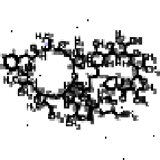 C/C=C1\NC(=O)[C@H](Cc2ccccc2)NC(=O)C(C(C)C)NC(=O)[C@@H](C(C)CC)NC(=O)C(NC(=O)[C@H](NC(=O)[C@H](CCCN)NC(=O)[C@@H]2CCCN2C(=O)C(NC(=O)C(NC(=O)C(NC(=O)C(NC(=O)CCCC(C)C)C(C)C)C(C)O)C(C)C)C(C)C)C(C)CC)C(C)OC(=O)C(C(C)C)NC1=O